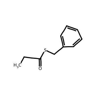 CCC(=O)SCc1ccccc1